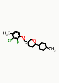 Cc1ccc(OC[C@@H]2CCC(C3CCC(C)CC3)OC2)c(F)c1Cl